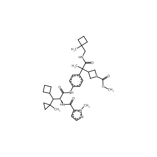 COC(=O)N1CC(C(C)(C(=O)NCC2(C)CCC2)c2ccc(NC(=O)[C@@H](NC(=O)c3ccnn3C)C(C3CCC3)C3(C)CC3)cc2)C1